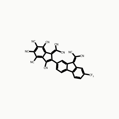 N#CC(C#N)=C1c2cc(C3=C(C#N)c4c(C#N)c(C#N)c(C#N)c(C#N)c4C3=C(C#N)C#N)ccc2-c2ccc(C(F)(F)F)cc21